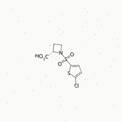 O=C(O)[C@@H]1CCN1S(=O)(=O)c1ccc(Cl)s1